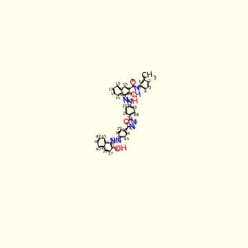 Cc1cccc(NC(=O)c2cc3ccccc3c(N=Nc3ccc(-c4nnc(-c5ccc(N=Nc6c(O)ccc7ccccc67)cc5)o4)cc3)c2O)c1